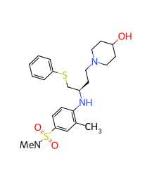 CNS(=O)(=O)c1ccc(N[C@H](CCN2CCC(O)CC2)CSc2ccccc2)c(C)c1